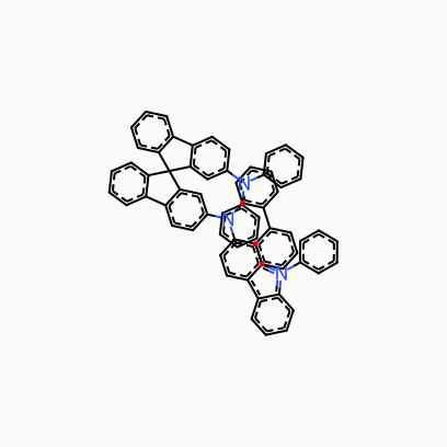 c1ccc(-c2ccccc2N(c2ccc3c(c2)C2(c4ccccc4-c4ccc(N(c5ccccc5)c5ccccc5)cc42)c2ccccc2-3)c2ccc3c4ccccc4n(-c4ccccc4)c3c2)cc1